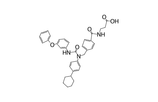 O=C(O)CCNC(=O)c1ccc(CN(C(=O)Nc2cccc(Oc3ccccc3)c2)c2ccc(C3CCCCC3)cc2)cc1